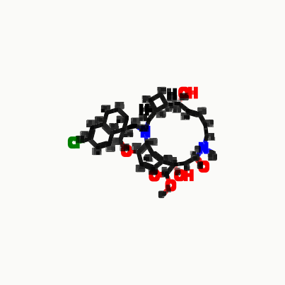 COC(=O)[C@]1(O)CC(=O)N(C)CC/C=C/[C@@H](O)[C@@H]2CC[C@H]2CN2C[C@@]3(CCCc4cc(Cl)ccc43)COc3ccc1cc32